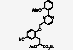 CCOC(=O)C(Cc1cc(C#N)ccc1OCc1ccnc(-c2ccccc2OC)n1)OC(C)=O